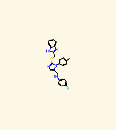 Cc1ccc(-n2c(CNc3ccc(F)cc3)cnc2SCc2nc3ccccc3[nH]2)cc1